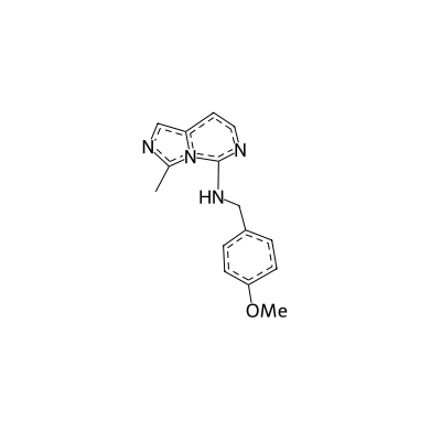 COc1ccc(CNc2nccc3cnc(C)n23)cc1